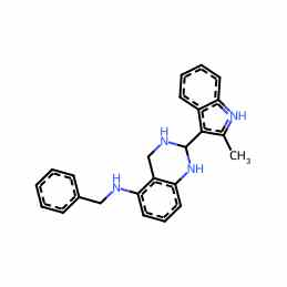 Cc1[nH]c2ccccc2c1C1NCc2c(NCc3ccccc3)cccc2N1